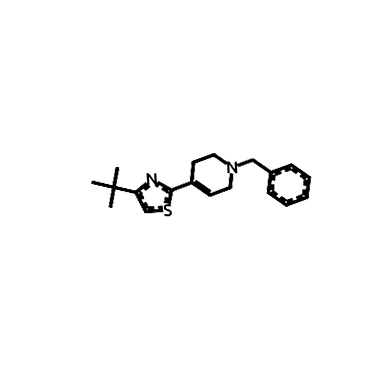 CC(C)(C)c1csc(C2=CCN(Cc3ccccc3)CC2)n1